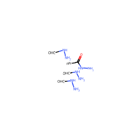 CCCC(=O)NN.NNC=O.NNC=O.NNC=O